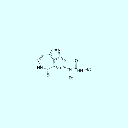 CCNC(=O)N(CC)c1cc2c3c(c[nH]c3c1)C=NNC2=O